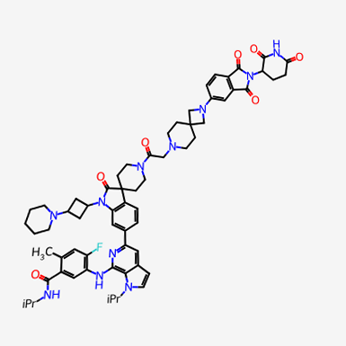 Cc1cc(F)c(Nc2nc(-c3ccc4c(c3)N(C3CC(N5CCCCC5)C3)C(=O)C43CCN(C(=O)CN4CCC5(CC4)CN(c4ccc6c(c4)C(=O)N(C4CCC(=O)NC4=O)C6=O)C5)CC3)cc3ccn(C(C)C)c23)cc1C(=O)NC(C)C